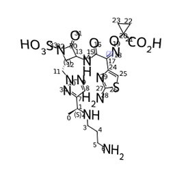 C[C@H](NCCCN)c1cnn(C[C@H]2C(NC(=O)/C(=N\OC3(C(=O)O)CC3)c3csc(N)n3)C(=O)N2S(=O)(=O)O)n1